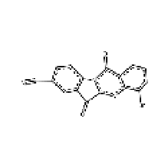 N#Cc1ccc2c(c1)C(=O)c1nc3c(Br)cccc3c(=O)n1-2